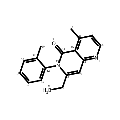 BCc1cc2nccc(C)c2c(=O)n1-c1ccccc1C